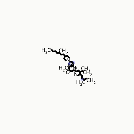 C=C/C(C)=C\Cc1cnc(C2=CC(=O)C(=C)CC(/C=C\C(=C/C)N3CCC(CCC(=C)CCCCC)CC3)=N2)cc1C(=C)C